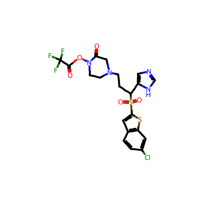 O=C1CN(CCC(c2cnc[nH]2)S(=O)(=O)c2cc3ccc(Cl)cc3s2)CCN1OC(=O)C(F)(F)F